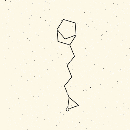 C(CCC1CC2CCC1C2)CC1CO1